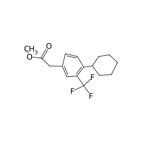 COC(=O)Cc1ccc(C2CCCCC2)c(C(F)(F)F)c1